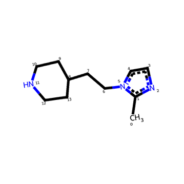 Cc1nccn1CCC1CCNCC1